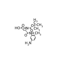 Cc1ccc(N)cc1NC(=O)[C@@H](CC(=O)O)NC(=O)OC(C)(C)C